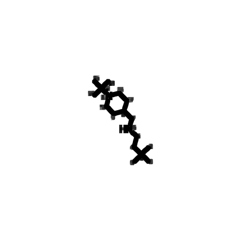 CC(C)(C)CCNCC1CCN(C(C)(C)C)CC1